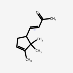 CC(=O)/C=C/C1CC=C(C)C1(C)C